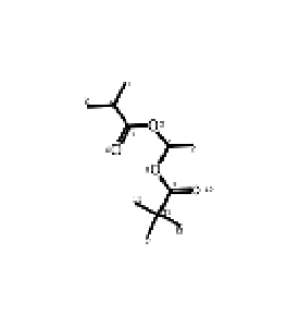 CC(OC(=O)C(C)C)OC(=O)C(C)(C)C